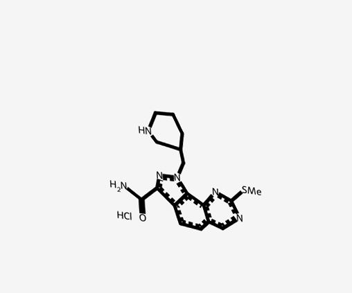 CSc1ncc2ccc3c(C(N)=O)nn(CC4CCCNC4)c3c2n1.Cl